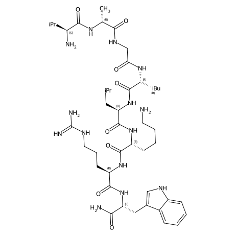 CC[C@@H](C)[C@@H](NC(=O)CNC(=O)[C@@H](C)NC(=O)[C@@H](N)C(C)C)C(=O)N[C@H](CC(C)C)C(=O)N[C@H](CCCCN)C(=O)N[C@H](CCCNC(=N)N)C(=O)N[C@H](Cc1c[nH]c2ccccc12)C(N)=O